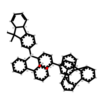 CC1(C)c2cc(N(c3ccc(-c4ccc5c(c4)-c4c6cccc4-c4cccc-5c4-c4ccccc4-6)cc3)c3ccccc3-c3ccccc3)ccc2C2C=CC=CC21